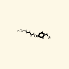 CCCCCCCCCCCCOc1ccc(CBr)cc1